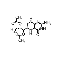 CC(=O)OC(C)C(OC(C)=O)C1CNc2nc(N)[nH]c(=O)c2N1